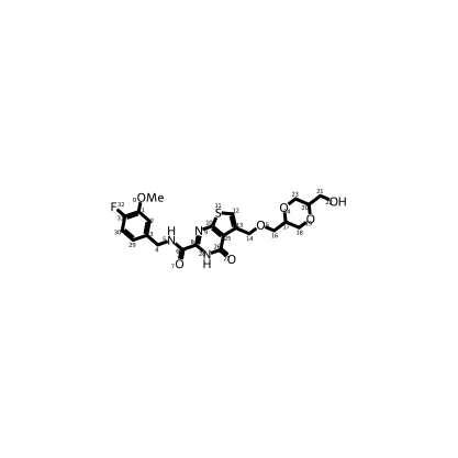 COc1cc(CNC(=O)c2nc3scc(COCC4COC(CO)CO4)c3c(=O)[nH]2)ccc1F